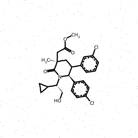 COC(=O)C[C@@]1(C)CC(c2cccc(Cl)c2)[C@@H](c2ccc(Cl)cc2)N([C@H](CO)C2CC2)C1=O